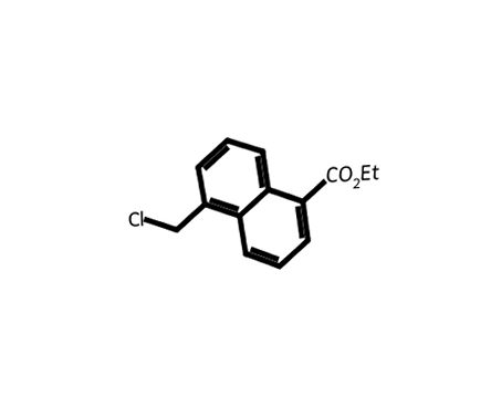 CCOC(=O)c1cccc2c(CCl)cccc12